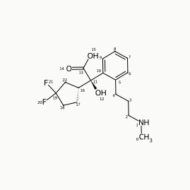 CNCCCc1ccccc1[C@@](O)(C(=O)O)[C@@H]1CCC(F)(F)C1